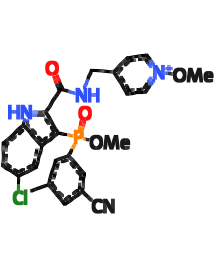 CO[n+]1ccc(CNC(=O)c2[nH]c3ccc(Cl)cc3c2P(=O)(OC)c2cc(C)cc(C#N)c2)cc1